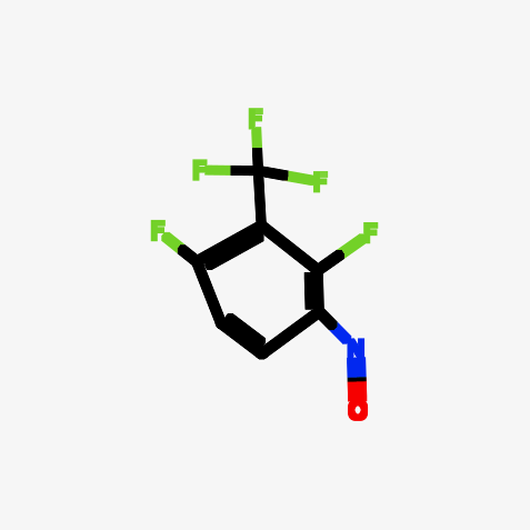 O=Nc1ccc(F)c(C(F)(F)F)c1F